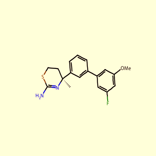 COc1cc(F)cc(-c2cccc([C@]3(C)CCSC(N)=N3)c2)c1